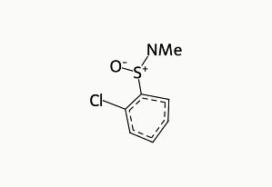 CN[S+]([O-])c1ccccc1Cl